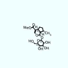 COC(=O)C1=CO[C@@H](O[C@@H]2O[C@H](CO)[C@@H](O)[C@H](O)[C@H]2O)[C@H]2[C@@H]1CC[C@@H]2C